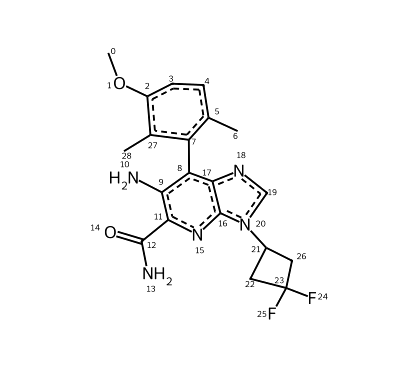 COc1ccc(C)c(-c2c(N)c(C(N)=O)nc3c2ncn3C2CC(F)(F)C2)c1C